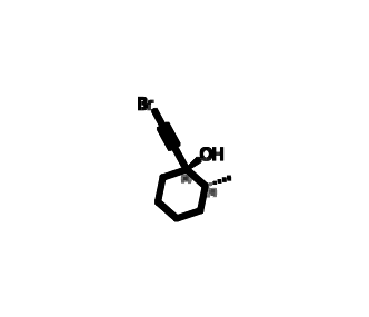 C[C@@H]1CCCC[C@]1(O)C#CBr